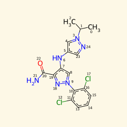 CC(C)n1cc(Nc2cn(-c3c(Cl)cccc3Cl)nc2C(N)=O)cn1